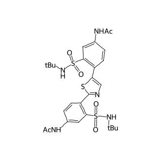 CC(=O)Nc1ccc(-c2cnc(-c3ccc(NC(C)=O)cc3S(=O)(=O)NC(C)(C)C)s2)c(S(=O)(=O)NC(C)(C)C)c1